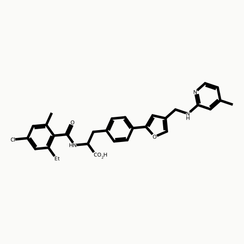 CCc1cc(Cl)cc(C)c1C(=O)NC(Cc1ccc(-c2cc(CNc3cc(C)ccn3)co2)cc1)C(=O)O